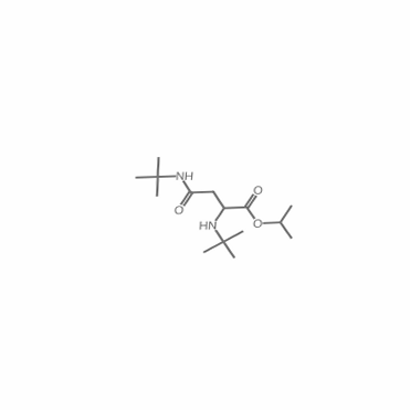 CC(C)OC(=O)C(CC(=O)NC(C)(C)C)NC(C)(C)C